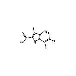 Cc1c(C(=O)O)[nH]c2c(Cl)c(Cl)ccc12